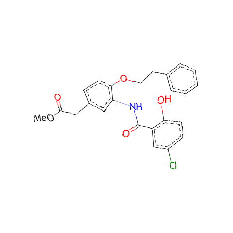 COC(=O)Cc1ccc(OCCc2ccccc2)c(NC(=O)c2cc(Cl)ccc2O)c1